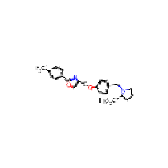 O=C(O)C1CCCN1Cc1ccc(OCc2coc(-c3ccc(C(F)(F)F)cc3)n2)cc1